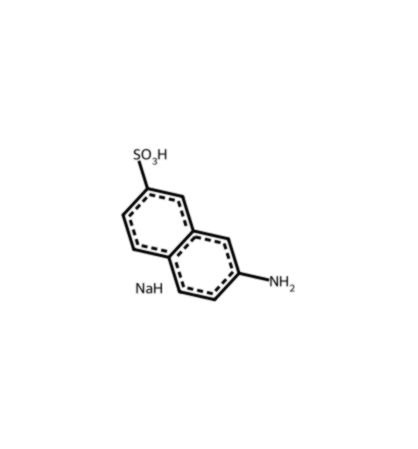 Nc1ccc2ccc(S(=O)(=O)O)cc2c1.[NaH]